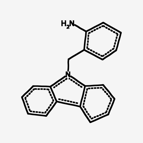 Nc1ccccc1Cn1c2ccccc2c2ccccc21